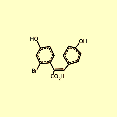 O=C(O)/C(=C/c1ccc(O)cc1)c1ccc(O)cc1Br